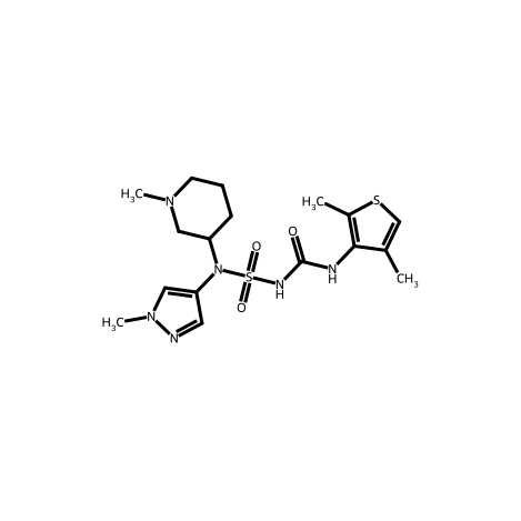 Cc1csc(C)c1NC(=O)NS(=O)(=O)N(c1cnn(C)c1)C1CCCN(C)C1